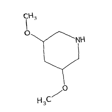 COC1CNCC(OC)C1